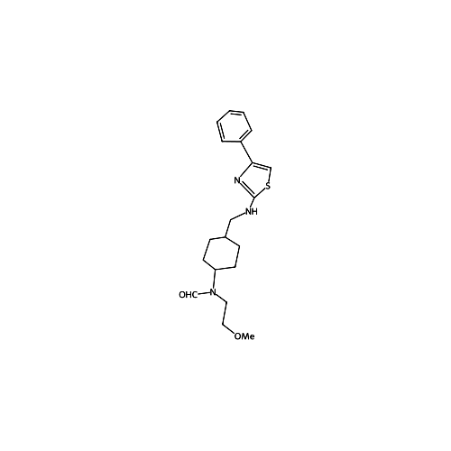 COCCN(C=O)C1CCC(CNc2nc(-c3ccccc3)cs2)CC1